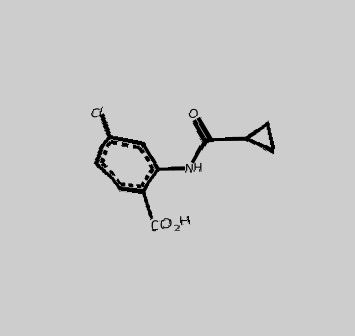 O=C(O)c1ccc(Cl)cc1NC(=O)C1CC1